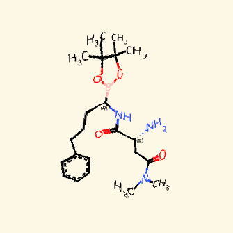 CN(C)C(=O)C[C@@H](N)C(=O)N[C@@H](CCCc1ccccc1)B1OC(C)(C)C(C)(C)O1